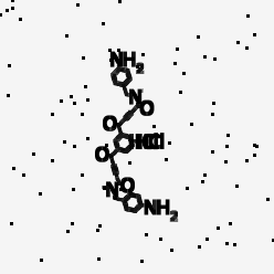 CN(Cc1ccc(N)cc1)C(=O)C#CC(=O)c1cccc(C(=O)C#CC(=O)N(C)Cc2ccc(N)cc2)c1.Cl.Cl